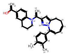 C=C(O)c1ccc2c(c1)CCCN2C(=C)c1cc2n(n1)/C(c1ccc(C)c(C)c1)=C\C=C/CC2